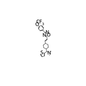 CN(C)C(c1cccs1)C1CCC(/C=C/c2nc(-c3ccc(OC(F)(F)F)cc3)no2)CC1